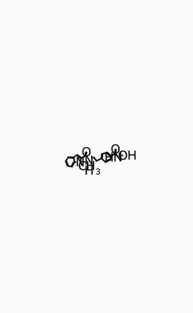 Cn1c(C(=O)NCCc2ccc(C(=O)NO)cc2)cc2ccccc21